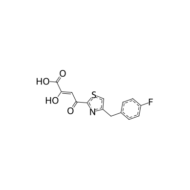 O=C(O)C(O)=CC(=O)c1nc(Cc2ccc(F)cc2)cs1